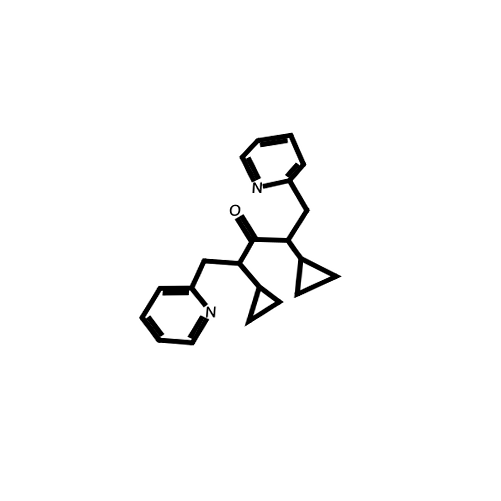 O=C(C(Cc1ccccn1)C1CC1)C(Cc1ccccn1)C1CC1